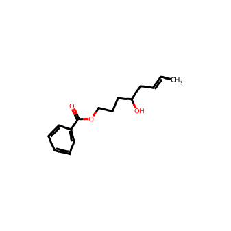 CC=CCC(O)CCCOC(=O)c1ccccc1